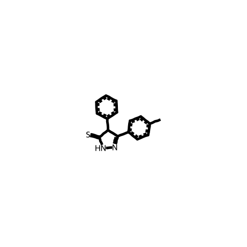 Cc1ccc(C2=NNC(=S)C2c2ccccc2)cc1